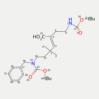 CC(C)(/C=C(/CCNC(=O)OC(C)(C)C)C(=O)O)CCN(Cc1ccccc1)C(=O)OC(C)(C)C